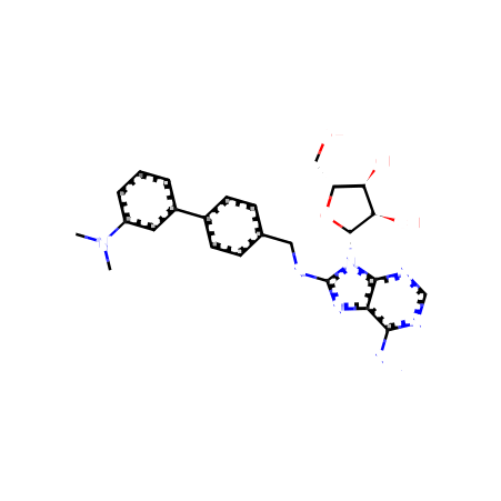 CN(C)c1cccc(-c2ccc(CNc3nc4c(N)ncnc4n3[C@@H]3O[C@H](CO)[C@@H](O)[C@H]3O)cc2)c1